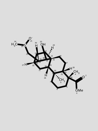 COC(=O)[C@]1(C)CCC[C@@]2(C)[C@@H]3C[C@@H]4CC[C@@]3(CC[C@@H]21)[C@H](O)[C@H]4C[S+](C)[O-]